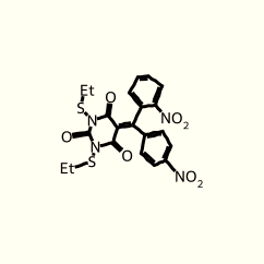 CCSN1C(=O)C(=C(c2ccc([N+](=O)[O-])cc2)c2ccccc2[N+](=O)[O-])C(=O)N(SCC)C1=O